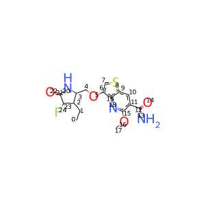 CCC1C(COc2csc3cc(C(N)=O)c(OC)nc23)NC(=O)C1F